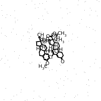 C#CC1(O)CC[C@H]2[C@@H]3CCc4cc(OC)ccc4[C@H]3CC[C@@]21C.C=C1C[C@H]2[C@@H]3C=C(Cl)C4=CC(=O)CC[C@]4(C)[C@H]3CC[C@]2(C)[C@@]1(OC(C)=O)C(C)=O